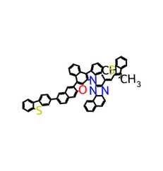 C=C/C(=C\c1sc2ccccc2c1C)c1nc2ccc3ccccc3c2nc1-n1c2ccccc2c2c3ccccc3c3c4cc5cc(-c6ccc7c(c6)sc6ccccc67)ccc5cc4oc3c21